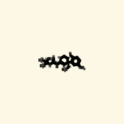 CC[C@@]1(c2cc(N)ccc2F)CCSC(NC(=O)OC(C)(C)C)=N1